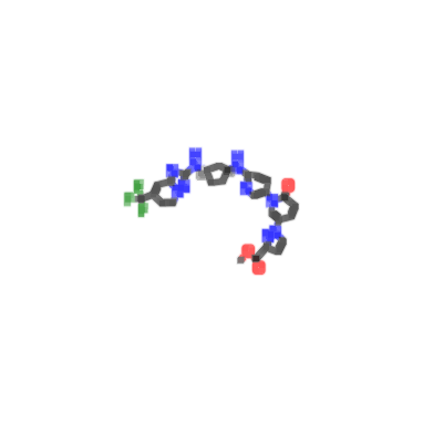 COC(=O)c1ccn(-c2ccc(=O)n(-c3ccc(N[C@H]4CC[C@H](Nc5nc6cc(C(F)(F)F)ccn6n5)C4)nc3)c2)n1